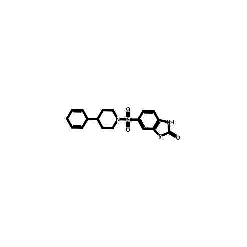 O=c1[nH]c2ccc(S(=O)(=O)N3CCC(C4C=CCC=C4)CC3)cc2s1